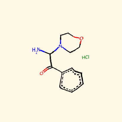 Cl.NC(C(=O)c1ccccc1)N1CCOCC1